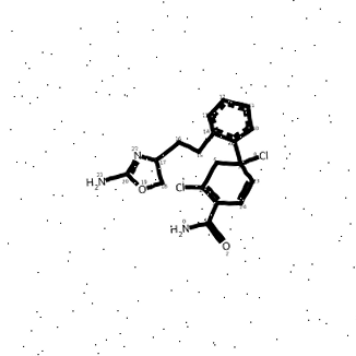 NC(=O)C1=C(Cl)CC(Cl)(c2ccccc2CCC2COC(N)=N2)C=C1